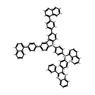 c1ccc(-c2nc3ccccc3nc2-c2ccc(N(c3ccc(-n4c5ccc(-c6ccc(-c7cccc8ccccc78)cc6)cc5c5cc(-c6ccc(-c7cccc8ccccc78)cc6)ccc54)cc3)c3cccc4cccnc34)cc2)cc1